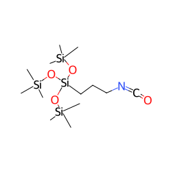 C[Si](C)(C)O[Si](CCCN=C=O)(O[Si](C)(C)C)O[Si](C)(C)C